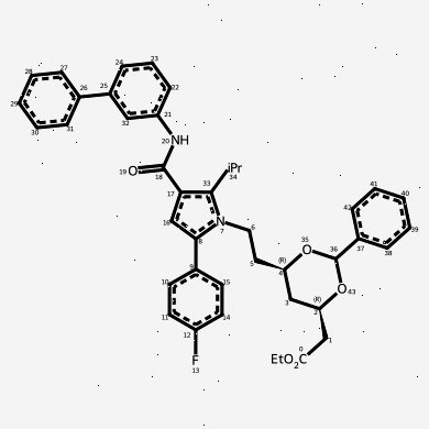 CCOC(=O)C[C@H]1C[C@@H](CCn2c(-c3ccc(F)cc3)cc(C(=O)Nc3cccc(-c4ccccc4)c3)c2C(C)C)OC(c2ccccc2)O1